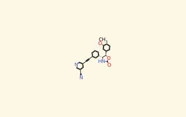 COc1cccc([C@H]2OC(=O)N[C@@H]2c2cccc(C#Cc3cncc(C#N)c3)c2)c1